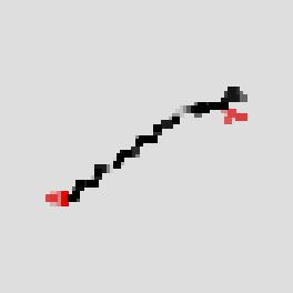 CCCCC(O)C#CCCCCCCCCCCCCO